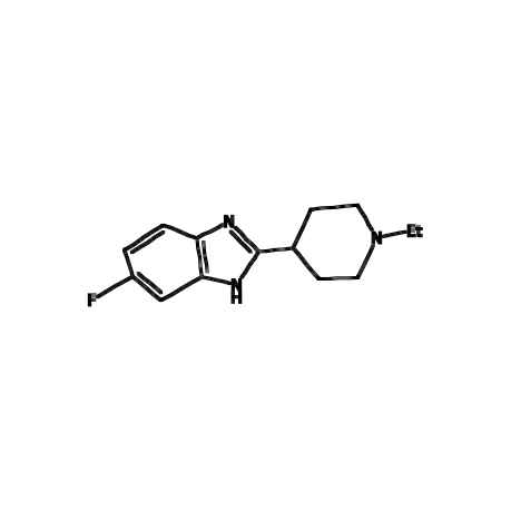 CCN1CCC(c2nc3ccc(F)cc3[nH]2)CC1